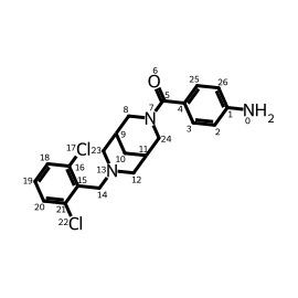 Nc1ccc(C(=O)N2CC3CC(CN(Cc4c(Cl)cccc4Cl)C3)C2)cc1